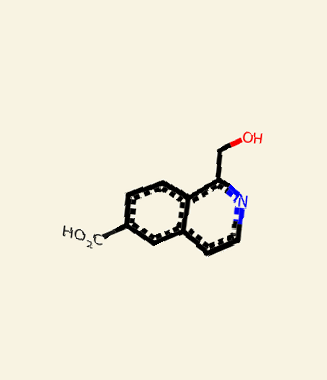 O=C(O)c1ccc2c(CO)nccc2c1